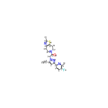 CCCc1cc(-c2ccc(F)c(C)n2)nn1CC(=O)N1CCc2nc(C)sc2CC1